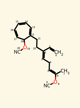 C=C/C(=C\C/C=C(\C)OC#N)CCC1=CC=CC=CC1OC#N